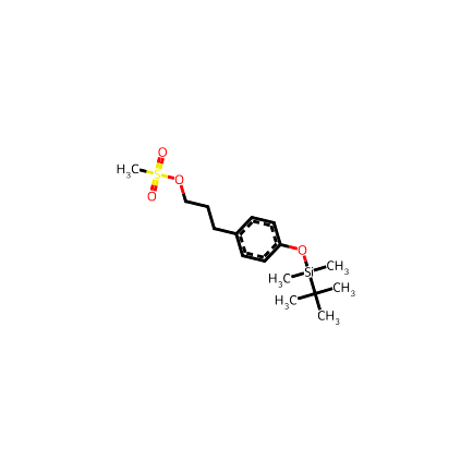 CC(C)(C)[Si](C)(C)Oc1ccc(CCCOS(C)(=O)=O)cc1